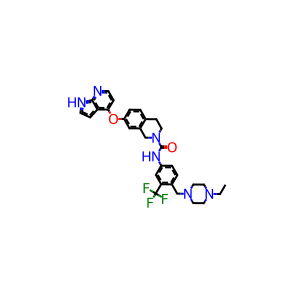 CCN1CCN(Cc2ccc(NC(=O)N3CCc4ccc(Oc5ccnc6[nH]ccc56)cc4C3)cc2C(F)(F)F)CC1